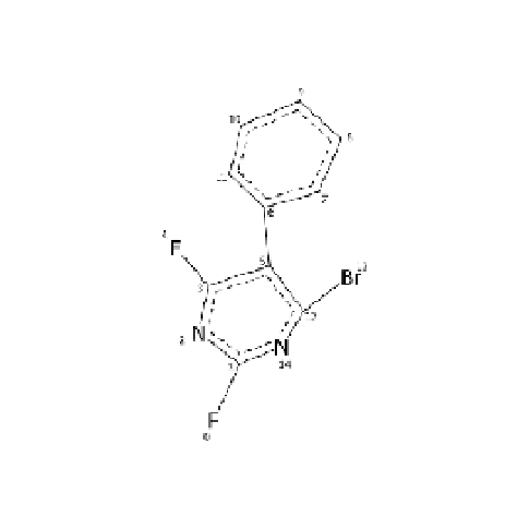 Fc1nc(F)c(-c2ccccc2)c(Br)n1